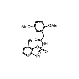 COc1ccc(OC)c(CC(=O)NS(=O)(=O)Oc2c(C(C)C)cccc2C(C)C)c1